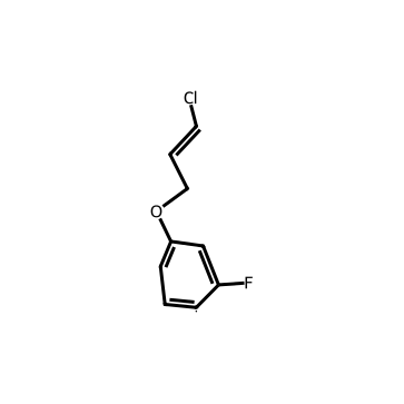 Fc1[c]ccc(OC/C=C/Cl)c1